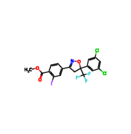 COC(=O)c1ccc(C2=NOC(c3cc(Cl)cc(Cl)c3)(C(F)(F)F)C2)cc1I